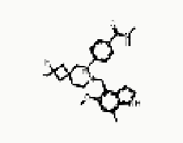 CNC(=O)c1ccc([C@@H]2CC3(CCN2Cc2c(OC)cc(C)c4[nH]ccc24)CC(F)(F)C3)cc1